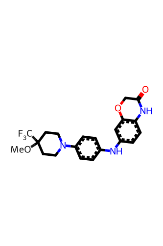 COC1(C(F)(F)F)CCN(c2ccc(Nc3ccc4c(c3)OCC(=O)N4)cc2)CC1